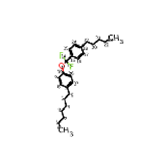 CCCCCCCc1ccc(OC(F)(F)c2ccc(CCCCC)cc2)cc1